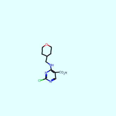 O=C(O)c1cnc(Cl)nc1NCC1CCOCC1